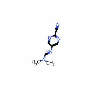 CN(C)/C=N/c1cnc(C#N)nc1